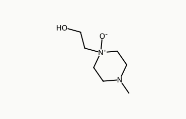 CN1CC[N+]([O-])(CCO)CC1